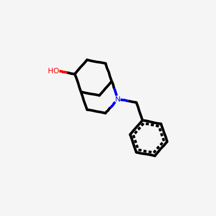 OC1CCC2CC1CCN2Cc1ccccc1